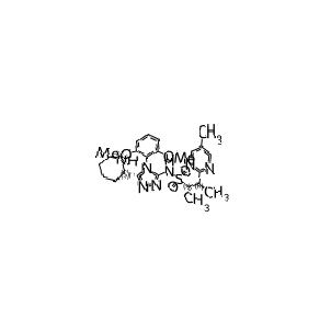 COc1cccc(OC)c1-n1c(NS(=O)(=O)[C@@H](C)[C@H](C)c2ncc(C)cn2)nnc1[C@@H]1CCCCN1